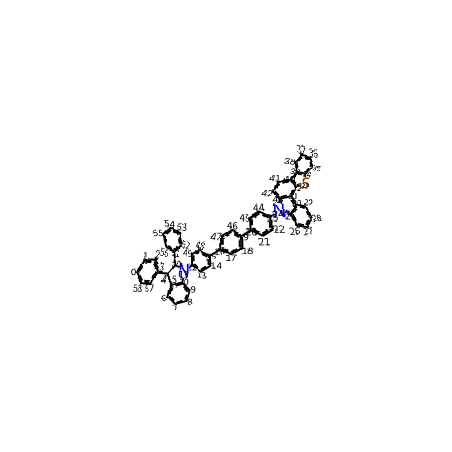 c1ccc(C2c3ccccc3N(c3ccc(-c4ccc(-c5ccc(-n6c7ccccc7c7c8sc9ccccc9c8ccc76)cc5)cc4)cc3)C2c2ccccc2)cc1